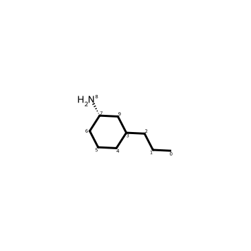 CCCC1CCC[C@H](N)C1